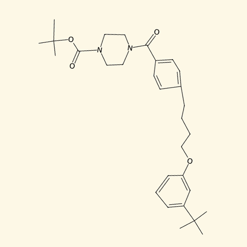 CC(C)(C)OC(=O)N1CCN(C(=O)c2ccc(CCCCOc3cccc(C(C)(C)C)c3)cc2)CC1